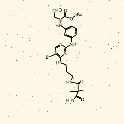 CC(C)(C)OC(=O)N(CC=O)Nc1cccc(Nc2ncc(Br)c(NCCCNC(=O)C(C)(C)C(N)=O)n2)c1